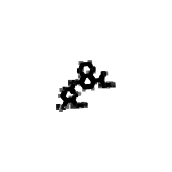 CCNC(=O)c1ccc(Nc2ncc(C(F)(F)F)c(NCC)n2)c2c1OCCO2